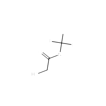 O=C(CS)NC(F)(F)F